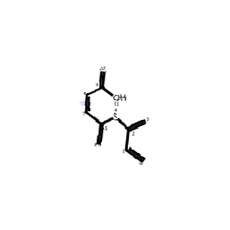 C=CC(=C)SC(=C)/C=C\C(=C)O